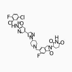 O=C1CCC(N2Cc3cc(CN4CCC(n5cc(-c6cnc7c(c6)O[C@@H](c6c(Cl)ccc(F)c6Cl)N7)cn5)CC4)c(F)cc3C2=O)C(=O)N1